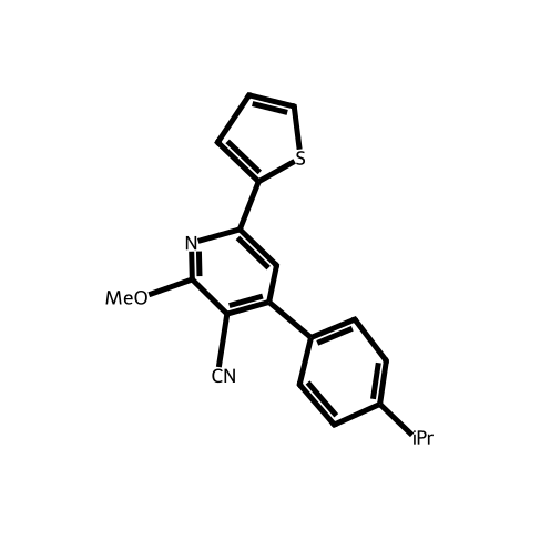 COc1nc(-c2cccs2)cc(-c2ccc(C(C)C)cc2)c1C#N